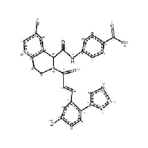 O=C(O)c1ccc(NC(=O)C2c3cc(Br)cnc3CCN2C(=O)C=Cc2cc(Cl)ccc2-n2cnnn2)cc1